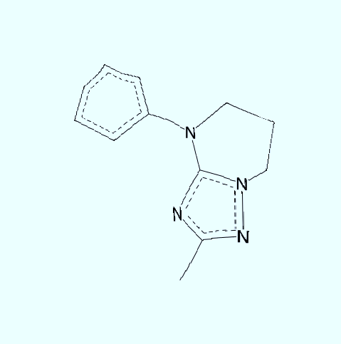 Cc1nc2n(n1)CCCN2c1ccccc1